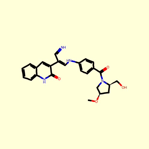 CO[C@@H]1C[C@H](CO)N(C(=O)c2ccc(N/C=C(\C=N)c3cc4ccccc4[nH]c3=O)cc2)C1